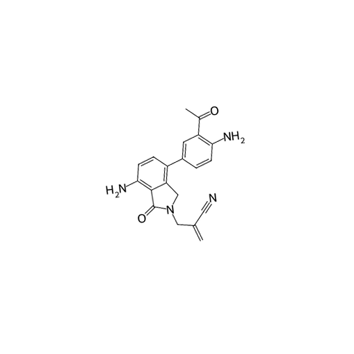 C=C(C#N)CN1Cc2c(-c3ccc(N)c(C(C)=O)c3)ccc(N)c2C1=O